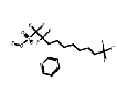 O=S(=O)(OF)C(F)(F)C(F)(F)CCCCCCCC(F)(F)F.c1ccncc1